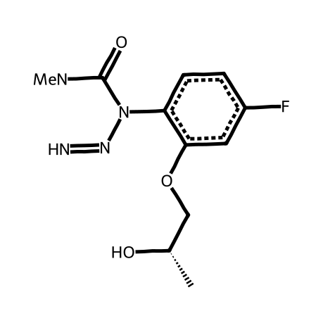 CNC(=O)N(N=N)c1ccc(F)cc1OC[C@H](C)O